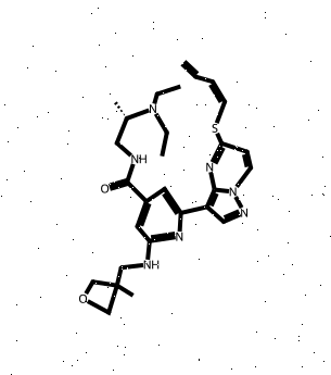 C=C/C=C\Sc1ccn2ncc(-c3cc(C(=O)NC[C@H](C)N(CC)CC)cc(NCC4(C)COC4)n3)c2n1